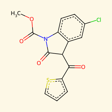 COC(=O)N1C(=O)C(C(=O)c2cccs2)c2cc(Cl)ccc21